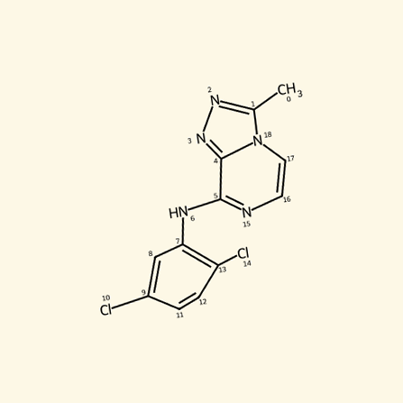 Cc1nnc2c(Nc3cc(Cl)ccc3Cl)nccn12